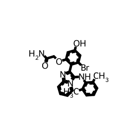 Cc1cccc(C)c1Nc1c(-c2c(Br)cc(O)cc2OCC(N)=O)nc2ccccn12